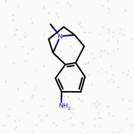 CN1C2CCC1c1cc(N)ccc1C2